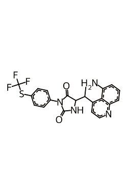 CC(c1ccnc2cccc(N)c12)C1NC(=O)N(c2ccc(SC(F)(F)F)cc2)C1=O